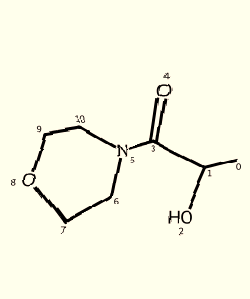 CC(O)C(=O)N1CCOCC1